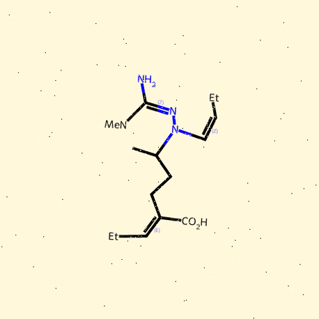 CC/C=C\N(/N=C(/N)NC)C(C)CC/C(=C\CC)C(=O)O